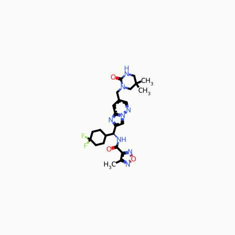 Cc1nonc1C(=O)N[C@H](c1cn2ncc(CN3CC(C)(C)CNC3=O)cc2n1)C1CCC(F)(F)CC1